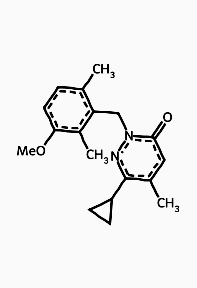 COc1ccc(C)c(Cn2nc(C3CC3)c(C)cc2=O)c1C